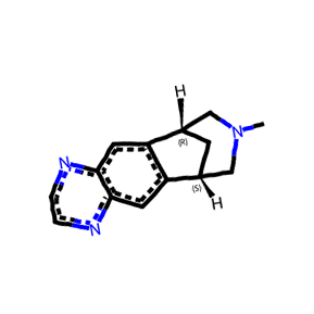 CN1C[C@H]2C[C@@H](C1)c1cc3nccnc3cc12